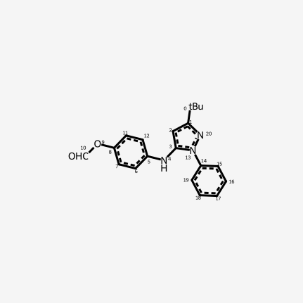 CC(C)(C)c1cc(Nc2ccc(OC=O)cc2)n(-c2ccccc2)n1